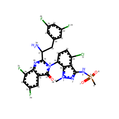 Cn1nc(NS(C)(=O)=O)c2c(Cl)ccc(-n3c(C(N)Cc4cc(F)cc(F)c4)nc4c(F)cc(F)cc4c3=O)c21